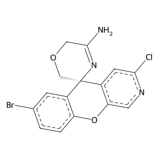 NC1=N[C@]2(COC1)c1cc(Br)ccc1Oc1cnc(Cl)cc12